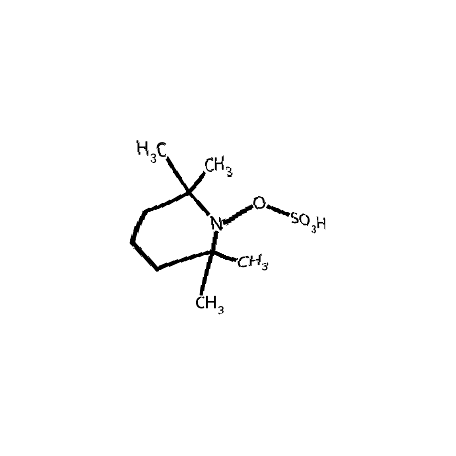 CC1(C)CCCC(C)(C)N1OS(=O)(=O)O